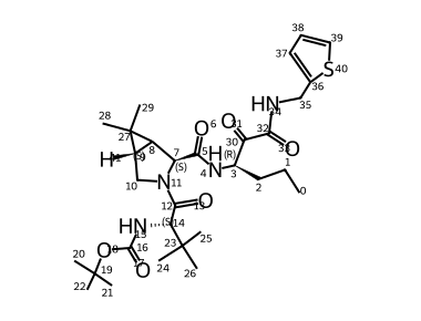 CCC[C@@H](NC(=O)[C@@H]1C2[C@H](CN1C(=O)[C@@H](NC(=O)OC(C)(C)C)C(C)(C)C)C2(C)C)C(=O)C(=O)NCc1cccs1